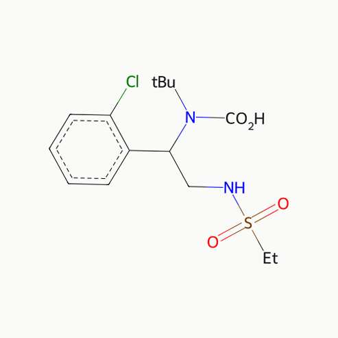 CCS(=O)(=O)NCC(c1ccccc1Cl)N(C(=O)O)C(C)(C)C